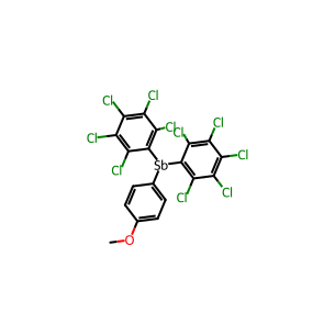 COc1cc[c]([Sb]([c]2c(Cl)c(Cl)c(Cl)c(Cl)c2Cl)[c]2c(Cl)c(Cl)c(Cl)c(Cl)c2Cl)cc1